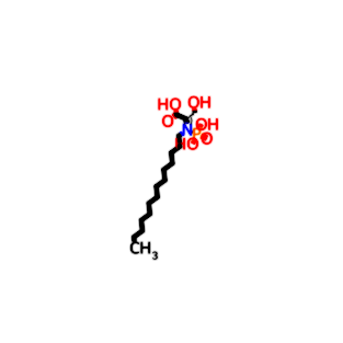 CCCCCCCCCCCCCCN([C@@H](CO)C(=O)O)P(=O)(O)O